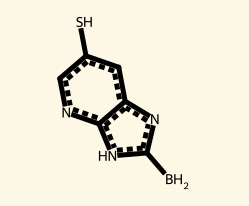 Bc1nc2cc(S)cnc2[nH]1